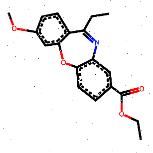 CCOC(=O)c1ccc2c(c1)N=C(CC)c1ccc(OC)cc1O2